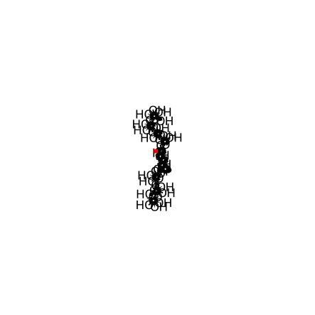 C[C@@H]1O[C@@H](O[C@H]2[C@H](O)[C@@H](O)[C@H](OC[C@H]3O[C@@H](OC(=O)[C@]45CCC(C)(C)C[C@H]4C4=CC[C@@H]6[C@@]7(C)CC[C@H](O[C@@H]8OC[C@H](O)[C@H](O)[C@H]8O[C@@H]8O[C@@H](C)[C@H](O)[C@@H](O[C@@H]9OC[C@@H](O[C@@H]%10O[C@H](CO)[C@@H](O)[C@H](O)[C@H]%10O)[C@@H](O)[C@H]9O)[C@H]8O)C(C)(C)[C@@H]7CC[C@@]6(C)[C@]4(C)CC5)[C@H](O)[C@@H](O)[C@@H]3O)O[C@@H]2CO)[C@H](O)[C@H](O)[C@H]1O